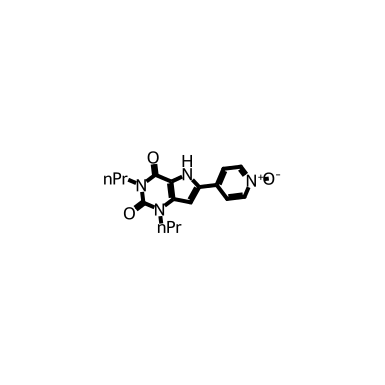 CCCn1c(=O)c2[nH]c(-c3cc[n+]([O-])cc3)cc2n(CCC)c1=O